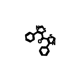 O=C(c1scnc1-c1ccccc1)c1scnc1-c1ccccc1